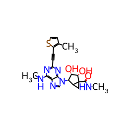 CNC(=O)C12CC1[C@@H](n1cnc3c(NC)nc(C#Cc4sccc4C)nc31)[C@H](O)[C@@H]2O